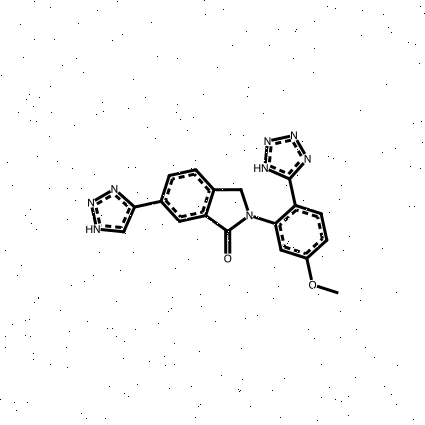 COc1ccc(-c2nnn[nH]2)c(N2Cc3ccc(-c4c[nH]nn4)cc3C2=O)c1